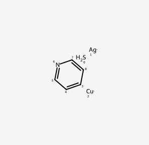 S.[Ag].[Cu].c1ccncc1